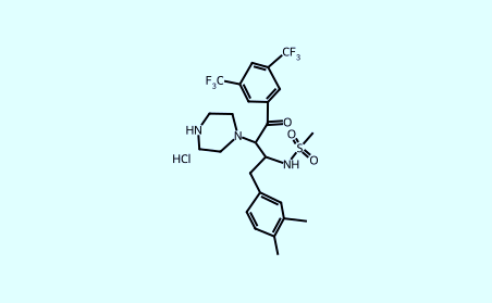 Cc1ccc(CC(NS(C)(=O)=O)C(C(=O)c2cc(C(F)(F)F)cc(C(F)(F)F)c2)N2CCNCC2)cc1C.Cl